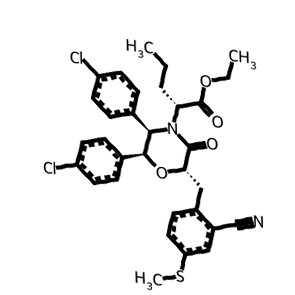 CCC[C@H](C(=O)OCC)N1C(=O)[C@H](Cc2ccc(SC)cc2C#N)O[C@@H](c2ccc(Cl)cc2)[C@H]1c1ccc(Cl)cc1